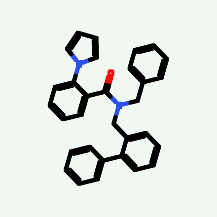 O=C(c1ccccc1-n1cccc1)N(Cc1ccccc1)Cc1ccccc1-c1ccccc1